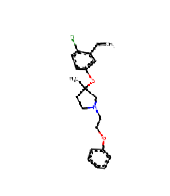 C=Cc1cc(OC2(C)CCN(CCOc3ccccc3)C2)ccc1Cl